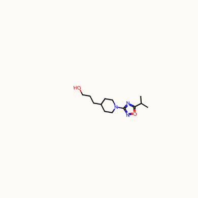 CC(C)c1nc(N2CCC(CCCO)CC2)no1